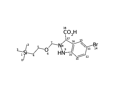 C[Si](C)(C)CCOCN1Nc2ccc(Br)cc2C1C(=O)O